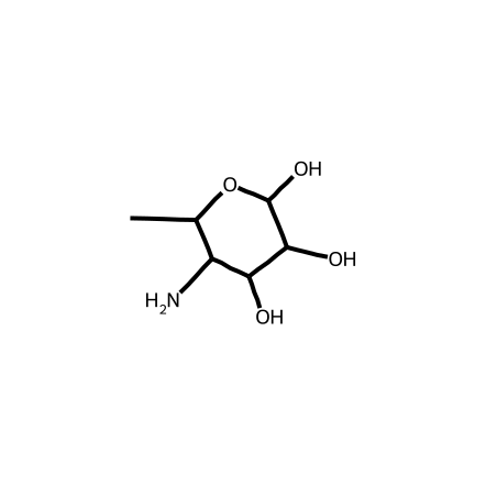 CC1OC(O)C(O)C(O)C1N